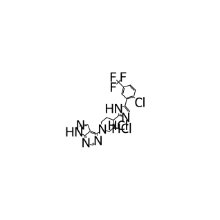 Cl.Cl.FC(F)(F)c1ccc(Cl)c(-c2cnc(C3CCN(c4ncnc5[nH]ncc45)CC3)[nH]2)c1